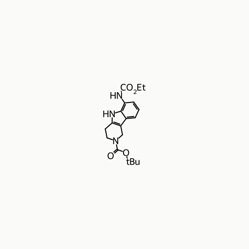 CCOC(=O)Nc1cccc2c3c([nH]c12)CCN(C(=O)OC(C)(C)C)C3